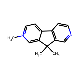 C[n+]1ccc2c(c1)C(C)(C)c1cnccc1-2